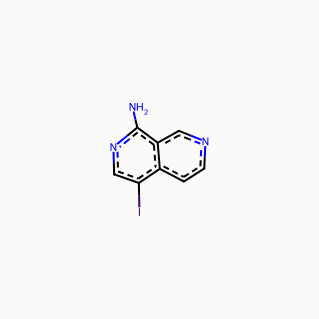 Nc1ncc(I)c2ccncc12